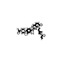 C=CC(=O)N1CC(CCn2c(=O)ccc3cnc(Nc4ccc(N5CCN(C(C)=O)CC5)c(Cl)c4)nc32)C1